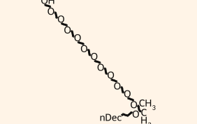 CCCCCCCCCCCCCOC(C)C(C)OCCOCCOCCOCCOCCOCCOCCOCCOCCOCCOCCO